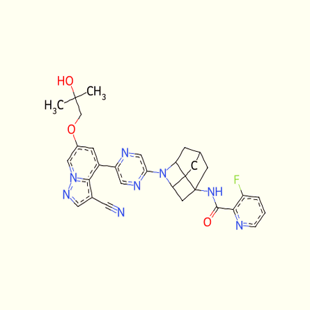 CC(C)(O)COc1cc(-c2cnc(N3C4CC5CC6(NC(=O)c7ncccc7F)CC3C46C5)cn2)c2c(C#N)cnn2c1